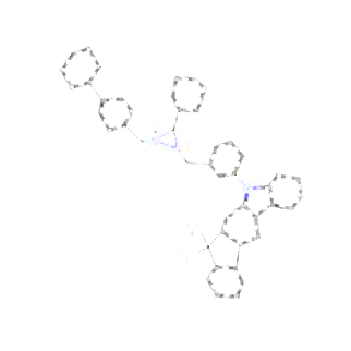 CC1(C)c2ccccc2-c2cc3c4ccccc4n(-c4cccc(C[N@]5C(c6ccccc6)[N@]5Cc5ccc(-c6ccccc6)cc5)c4)c3cc21